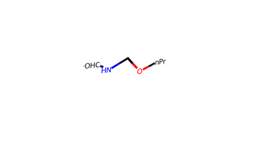 CCCOCN[C]=O